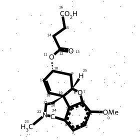 COc1ccc2c3c1O[C@H]1C[C@@H](OC(=O)CCC(=O)O)C=C[C@@]31CCN(C)C2